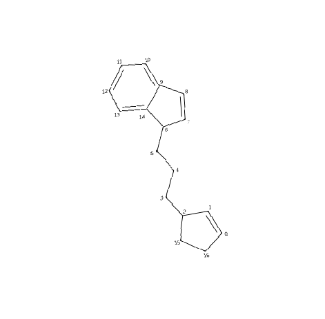 C1=CC(CCCC2C=Cc3ccccc32)CC1